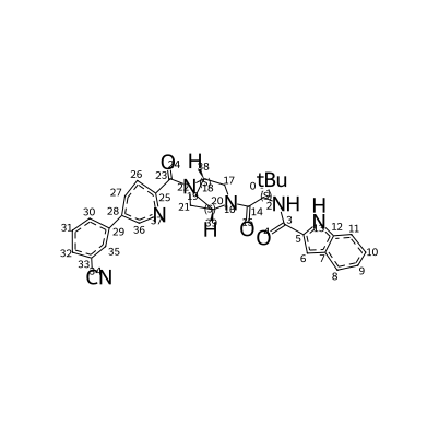 CC(C)(C)[C@H](NC(=O)c1cc2ccccc2[nH]1)C(=O)N1C[C@@H]2C[C@H]1CN2C(=O)c1ccc(-c2cccc(C#N)c2)cn1